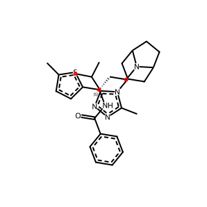 Cc1ccc([C@H](CCN2C3CCC2CC(n2c(C)nnc2C(C)C)C3)NC(=O)c2ccccc2)s1